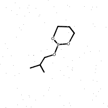 CC(C)COB1OCCCO1